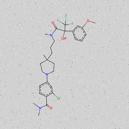 COc1cccc(C(O)(C(=O)N(C)CCCC2(C)CCN(c3ccc(C(=O)N(C)C)c(Cl)c3)CC2)C(F)(F)F)c1